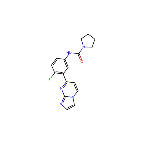 O=C(Nc1ccc(F)c(-c2ccn3ccnc3n2)c1)N1CCCC1